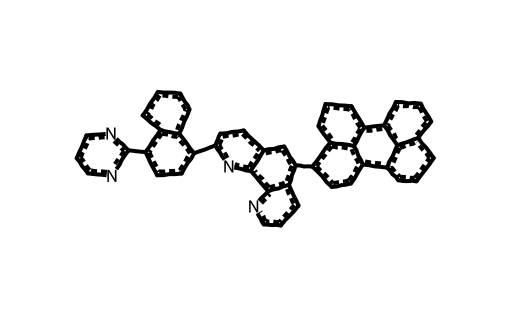 c1cnc(-c2ccc(-c3ccc4cc(-c5ccc6c7cccc8cccc(c9cccc5c96)c87)c5cccnc5c4n3)c3ccccc23)nc1